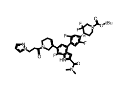 CN(C)C(=O)c1cc2c(-c3cc(F)c([C@H]4CCN(C(=O)OC(C)(C)C)CC4(F)F)cc3F)cc(C3=CCCN(C(=O)CCn4cccn4)C3)c(F)c2[nH]1